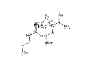 CC(=O)O.CC(=O)O.CCCCCCCCCCCCNC(=N)N.CCCCCCCCCCCCNC(=N)N